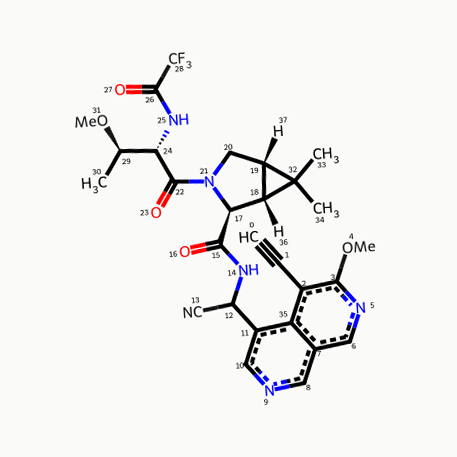 C#Cc1c(OC)ncc2cncc(C(C#N)NC(=O)[C@@H]3[C@@H]4[C@H](CN3C(=O)[C@@H](NC(=O)C(F)(F)F)[C@@H](C)OC)C4(C)C)c12